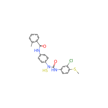 CSc1ccc(NC(=O)N(S)c2ccc(NC(=O)c3ccccc3C)cc2)cc1Cl